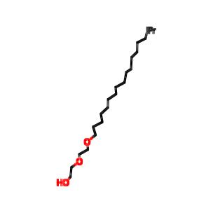 CC(C)CCCCCCCCCCCCCCCOCCOCCO